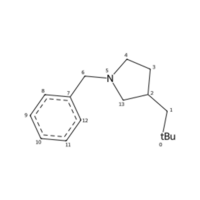 CC(C)(C)CC1CCN(Cc2ccccc2)C1